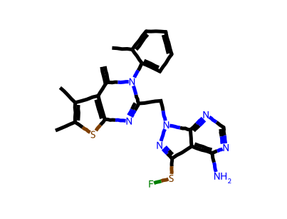 C=C1c2c(sc(C)c2C)N=C(Cn2nc(SF)c3c(N)ncnc32)N1c1ccccc1C